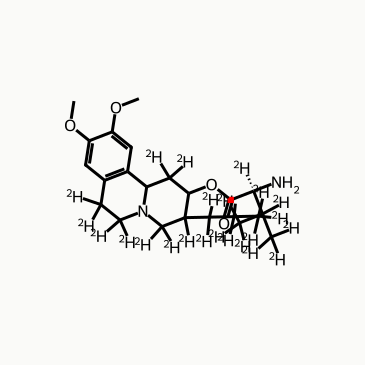 [2H]C1([2H])C2c3cc(OC)c(OC)cc3C([2H])([2H])C([2H])([2H])N2C([2H])([2H])C([2H])(C([2H])([2H])C([2H])(C)C([2H])([2H])[2H])C1OC(=O)[C@@]([2H])(N)C([2H])(C([2H])([2H])[2H])C([2H])([2H])[2H]